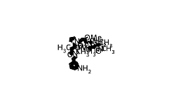 CC[C@H](C)[C@@H]([C@@H](CC(=O)N1CCC[C@H]1[C@H](OC)[C@@H](C)C(=O)N(C)CCc1cccc(N)c1)OC)N(C)C(=O)[C@@H](C(C)C)C(N)[C@H](C)N(C)C